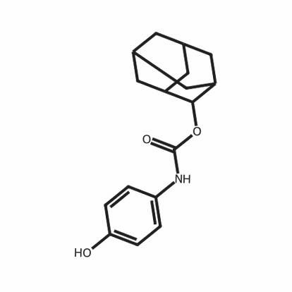 O=C(Nc1ccc(O)cc1)OC1C2CC3CC(C2)CC1C3